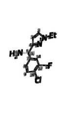 CCn1ccc([C@@H](N)c2ccc(Cl)c(F)c2)n1